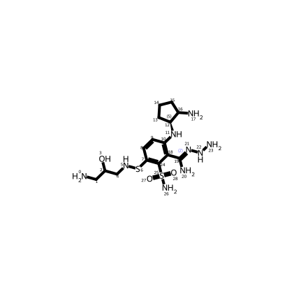 NCC(O)CNSc1ccc(N[C@H]2CCCC2N)c(/C(N)=N/NN)c1S(N)(=O)=O